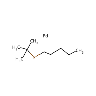 CCCCCSC(C)(C)C.[Pd]